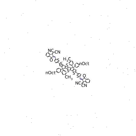 CCCCCCCCc1ccc(C2(c3ccc(C)cc3)c3cc(-c4ccc(/C=C5\C(=O)c6ccccc6C5=C(C#N)C#N)s4)sc3-c3sc4c5c(sc4c32)-c2sc(-c3ccc(/C=C4\C(=O)c6ccccc6C4=C(C#N)C#N)s3)cc2C5(c2ccc(C)cc2)c2ccc(CCCCCCCC)cc2)cc1